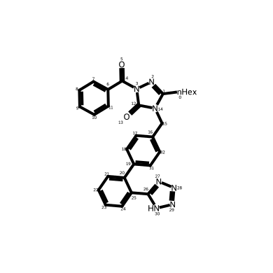 CCCCCCc1nn(C(=O)c2ccccc2)c(=O)n1Cc1ccc(-c2ccccc2-c2nnn[nH]2)cc1